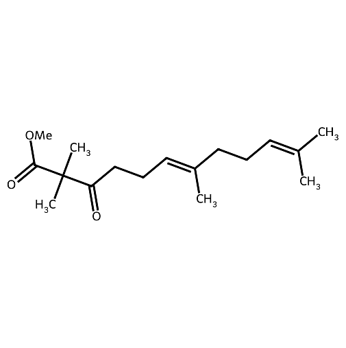 COC(=O)C(C)(C)C(=O)CC/C=C(\C)CCC=C(C)C